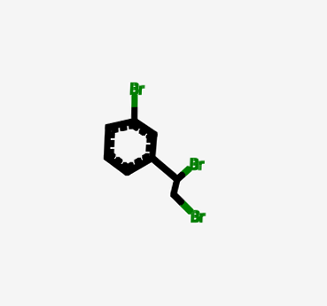 BrCC(Br)c1cccc(Br)c1